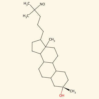 CC(C)(CCCC1CCC2C3CCC4C[C@@](C)(O)CCC4C3CCC12C)N=O